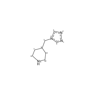 c1nncn1CC1CCNCC1